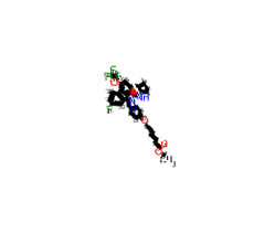 CCOC(=O)CCCCCOc1ccc(CC(NC(=O)NC2CCCC2)(c2cccc(F)c2)c2cccc(OC(F)(F)F)c2)cc1